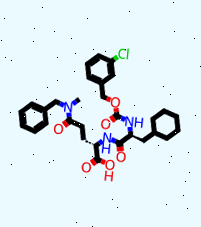 CN(Cc1ccccc1)C(=O)CC[C@H](NC(=O)[C@H](CC1CCCCC1)NC(=O)OCc1cccc(Cl)c1)C(=O)O